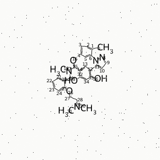 Cc1ccccc1-n1nccc1-c1cc(C(=O)N(C)Cc2ccccc2OCCN(C)C)c(O)cc1O